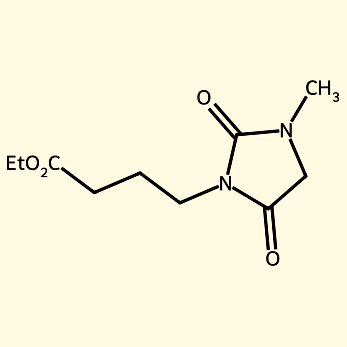 CCOC(=O)CCCN1C(=O)CN(C)C1=O